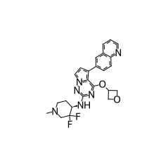 CN1CC[C@@H](Nc2nc(OC3COC3)c3c(-c4ccc5ncccc5c4)ccn3n2)C(F)(F)C1